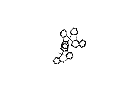 CC1(c2ccccc2)c2ccccc2Oc2cccc(-c3ccc4c(c3)C3(c5ccccc5-4)c4ccccc4-c4c3ccc3ccccc43)c21